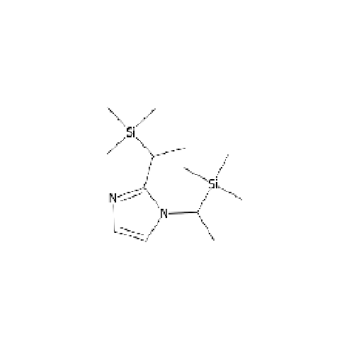 CC(c1nccn1C(C)[Si](C)(C)C)[Si](C)(C)C